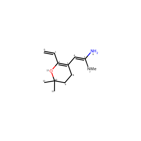 C=CC1=C(/C=C(/N)NC)CCC(C)(C)O1